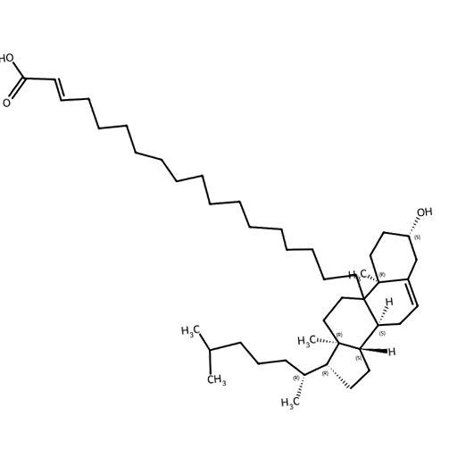 CC(C)CCC[C@@H](C)[C@H]1CC[C@H]2[C@@H]3CC=C4C[C@@H](O)CC[C@]4(C)C3(CCCCCCCCCCCCCCCC=CC(=O)O)CC[C@]12C